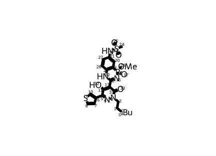 CCC(C)CCn1nc(-c2ccsc2)c(O)c(C2=NP(=O)(OC)c3cc(NS(C)(=O)=O)ccc3N2)c1=O